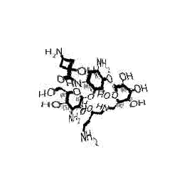 NCCC(O)CNC[C@H]1O[C@H](OC2[C@@H](N)C[C@@H](NC(=O)C3(O)CC(N)C3)[C@H](O[C@H]3O[C@H](CO)[C@@H](O)[C@H](N)[C@H]3O)[C@H]2O)[C@H](O)[C@@H](O)[C@@H]1O